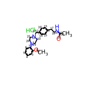 COc1ccccc1N1CCN(Cc2ccc(CCNC(C)=O)cc2)CC1.Cl